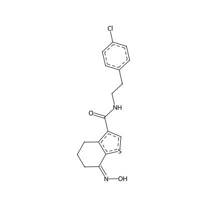 O=C(NCCc1ccc(Cl)cc1)c1csc2c1CCC/C2=N/O